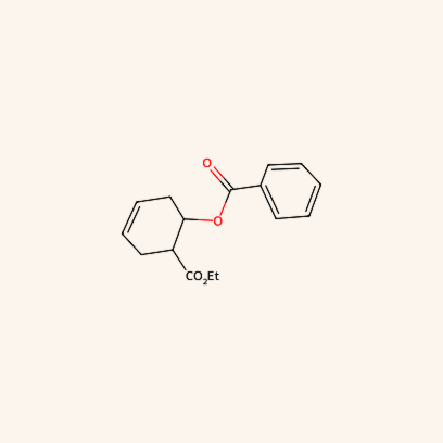 CCOC(=O)C1CC=CCC1OC(=O)c1ccccc1